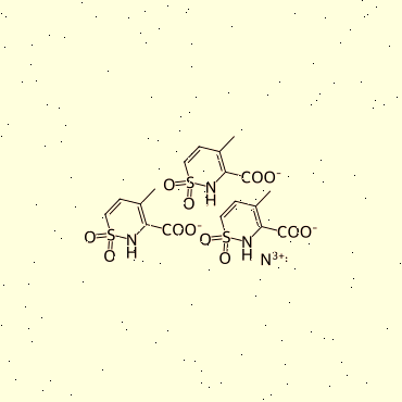 CC1=C(C(=O)[O-])NS(=O)(=O)C=C1.CC1=C(C(=O)[O-])NS(=O)(=O)C=C1.CC1=C(C(=O)[O-])NS(=O)(=O)C=C1.[N+3]